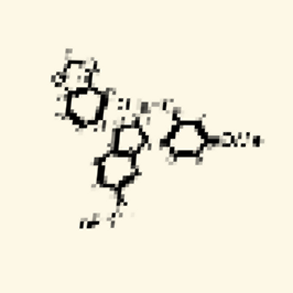 CCCOc1ccc2c(c1)[C@@H](c1ccc(OC)cc1O)[C@H](C(=O)O)[C@H]2c1ccc2c(c1)OCO2